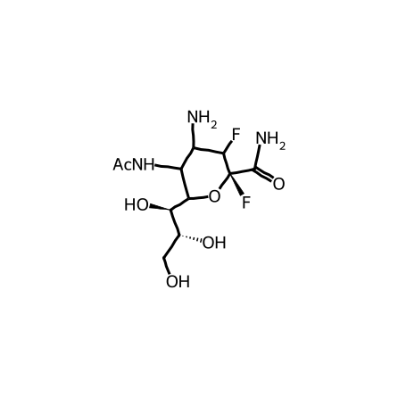 CC(=O)NC1C(N)C(F)[C@](F)(C(N)=O)OC1[C@H](O)[C@H](O)CO